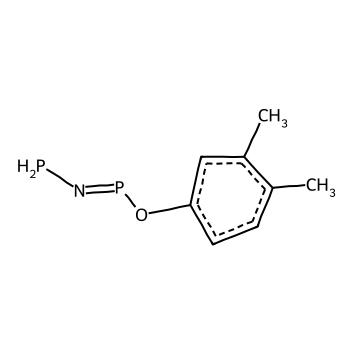 Cc1ccc(OP=NP)cc1C